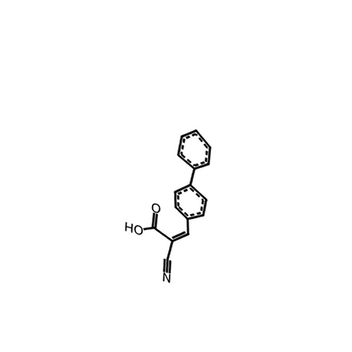 N#CC(=Cc1ccc(-c2ccccc2)cc1)C(=O)O